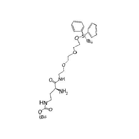 CC(C)(C)OC(=O)NCC[C@H](N)C(=O)NCCOCCOCCO[Si](c1ccccc1)(c1ccccc1)C(C)(C)C